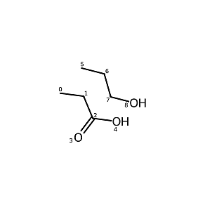 CCC(=O)O.CCCO